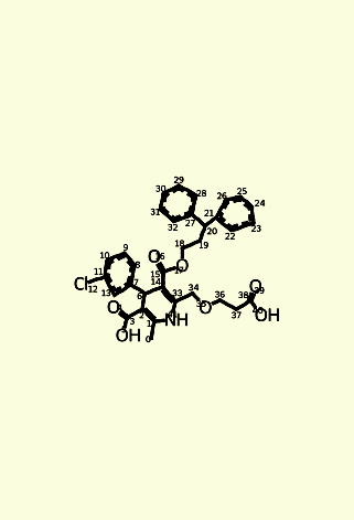 CC1=C(C(=O)O)C(c2cccc(Cl)c2)C(C(=O)OCCC(c2ccccc2)c2ccccc2)=C(COCCC(=O)O)N1